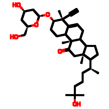 C#C[C@@]1(C)C2=CCC3C4CCC([C@H](C)CCCC(C)(C)O)[C@@]4(C)CC(=O)[C@@]3(C)C2CC[C@@H]1O[C@H]1C[C@@H](O)C[C@@H](CO)O1